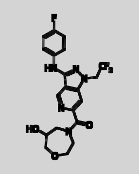 O=C(c1cc2c(cn1)c(Nc1ccc(F)cc1)nn2CC(F)(F)F)N1CCOCC(O)C1